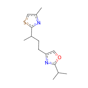 Cc1csc(C(C)CCc2coc(C(C)C)n2)n1